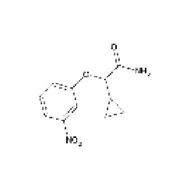 NC(=O)C(Oc1cccc([N+](=O)[O-])c1)C1CC1